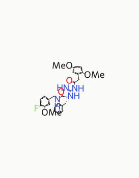 COc1ccc(OC)c(CC(=O)NC(=N)N[C@H](Cc2ccccc2)C(=O)NCc2ccc(F)c(OC)c2)c1